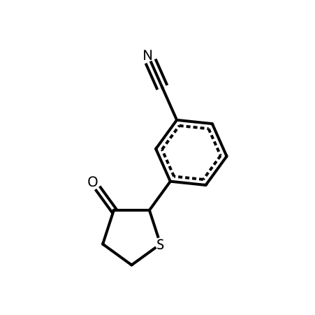 N#Cc1cccc(C2SCCC2=O)c1